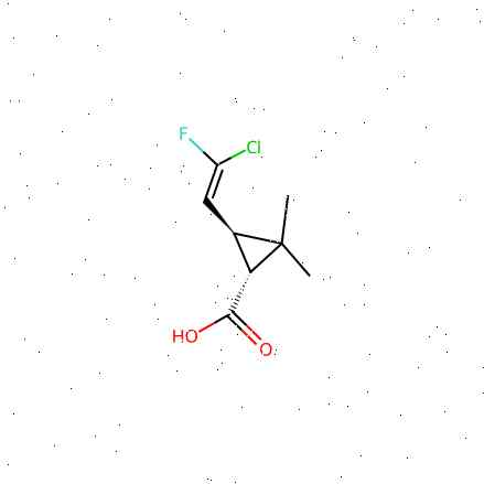 CC1(C)[C@H](C=C(F)Cl)[C@H]1C(=O)O